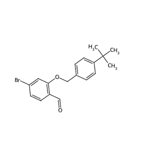 CC(C)(C)c1ccc(COc2cc(Br)ccc2C=O)cc1